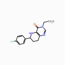 O=C(O)Cn1cnc2c(c1=O)NC(c1ccc(F)cc1)CC2